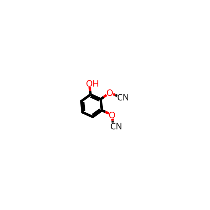 N#COc1cccc(O)c1OC#N